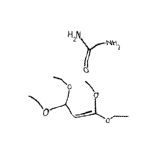 COC(=CC(OC)OC)OC.NC(N)=O